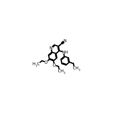 CCOc1cc2ncc(C#N)c(Nc3cccc(CC)c3)c2cc1OCC